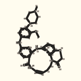 COc1cc(Nc2ncc3c(n2)Nc2ccc4c(n2)N(CCC#CNC3=O)C(=O)CO4)ccc1N1CCN(C)CC1